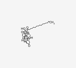 CCCCCCCCCCCCCCCC(=O)OC(O)C(=O)[C@@]1(O)CC[C@H]2[C@@H]3CCC4=CC(=O)CC[C@]4(C)[C@H]3[C@@H](O)C[C@@]21C